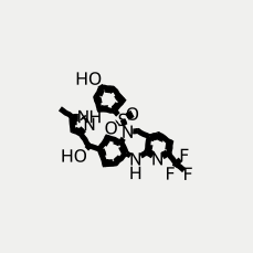 Cc1cc(C(O)c2ccc3c(c2)N(S(=O)(=O)c2ccc(O)cc2)Cc2ccc(C(F)(F)F)nc2N3)n[nH]1